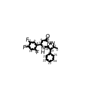 Cc1nn2c(=O)cc(-c3cc(F)c(F)cc3F)[nH]c2c1-c1ccccc1